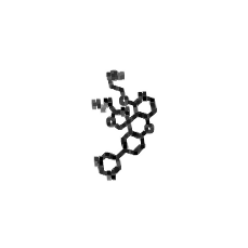 CC(C)(C)CCOc1nccc2c1C1(COC(N)=N1)c1cc(-c3cncnc3)ccc1O2